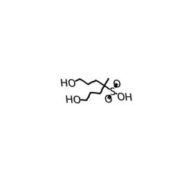 CC(CCCO)(CCCO)S(=O)(=O)O